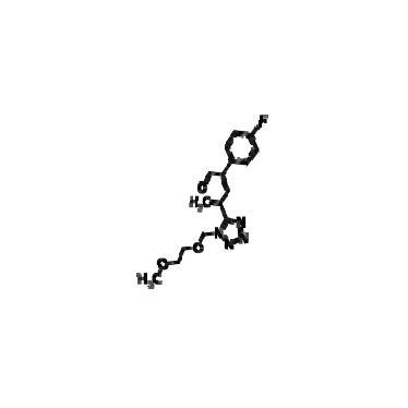 C=C(C=C(C=O)c1ccc(F)cc1)c1nnnn1COCCOC